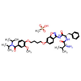 COc1cc(C(=O)N(C(C)C)C(C)C)ccc1OCCCCOc1ccc2c(NC(=O)[C@H](Cc3ccccc3)NC(=O)[C@@H](N)C(C)C)noc2c1.CS(=O)(=O)O